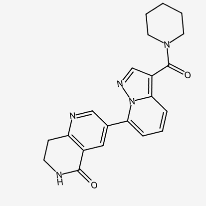 O=C1NCCc2ncc(-c3cccc4c(C(=O)N5CCCCC5)cnn34)cc21